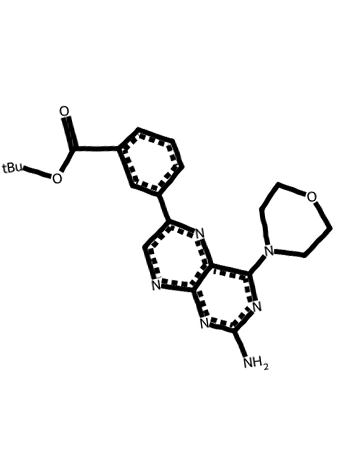 CC(C)(C)OC(=O)c1cccc(-c2cnc3nc(N)nc(N4CCOCC4)c3n2)c1